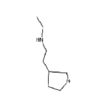 CCNCCC1CC[N]C1